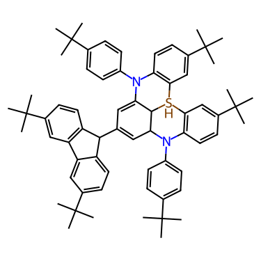 CC(C)(C)c1ccc(N2C3=CC(C4c5ccc(C(C)(C)C)cc5-c5cc(C(C)(C)C)ccc54)=CC4C3[SH](c3cc(C(C)(C)C)ccc32)c2cc(C(C)(C)C)ccc2N4c2ccc(C(C)(C)C)cc2)cc1